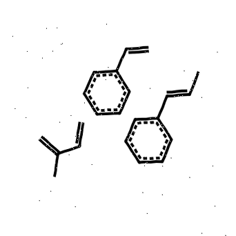 C=CC(=C)C.C=Cc1ccccc1.CC=Cc1ccccc1